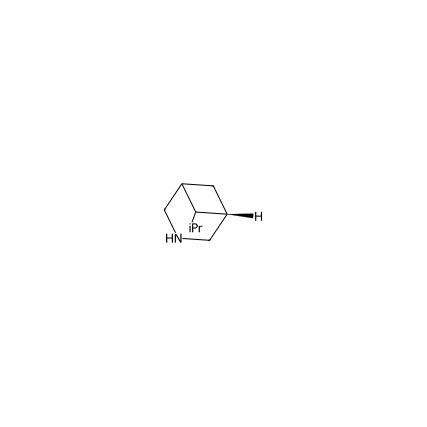 CC(C)C1C2CNC[C@H]1C2